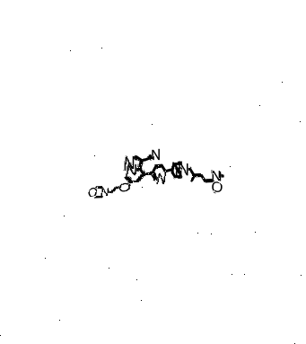 C=N/C(=C\C=C(/C)CN1CC2CCC1CN2c1ccc(-c2cc(OCCN3CCOCC3)cn3ncc(C#N)c23)cn1)OC